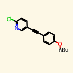 CCCCOc1ccc(C#Cc2ccc(Cl)nc2)cc1